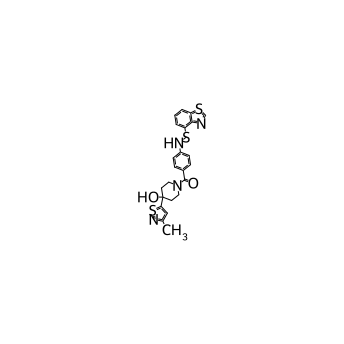 Cc1cc(C2(O)CCN(C(=O)c3ccc(NSc4cccc5scnc45)cc3)CC2)sn1